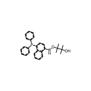 CC(C)(O)C(C)(C)OBc1ccc(P(c2ccccc2)c2ccccc2)c2ccccc12